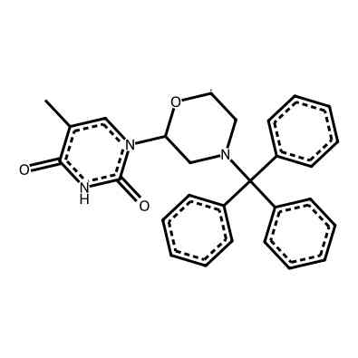 Cc1cn(C2CN(C(c3ccccc3)(c3ccccc3)c3ccccc3)C[CH]O2)c(=O)[nH]c1=O